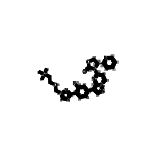 C[Si](C)(C)CCOCn1cnc(-c2ccc(-c3cnn4ccc(N5C(=O)OC[C@@H]5c5ccccn5)nc34)cc2F)n1